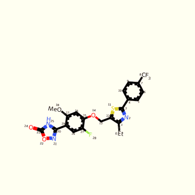 CCc1nc(-c2ccc(C(F)(F)F)cc2)sc1COc1cc(OC)c(-c2noc(=O)[nH]2)cc1F